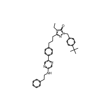 CCn1c(CCCc2ccc(-c3cnc(NCCc4ccccc4)cn3)cc2)nn(Cc2ccc(C(C)(C)C)cc2)c1=O